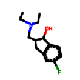 CCN(CC)CC1Cc2cc(F)ccc2C1O